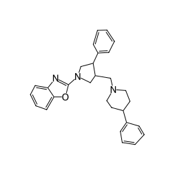 c1ccc(C2CCN(CC3CN(c4nc5ccccc5o4)CC3c3ccccc3)CC2)cc1